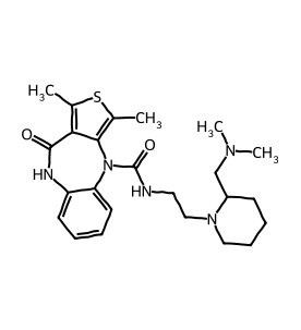 Cc1sc(C)c2c1C(=O)Nc1ccccc1N2C(=O)NCCN1CCCCC1CN(C)C